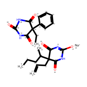 C=CCC1(C(C)CCC)C(=O)N=C([O-])NC1=O.CCC1(c2ccccc2)C(=O)NC(=O)NC1=O.[Na+]